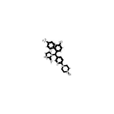 CCN1CCN(c2ccc(C(c3ccc(Cl)cc3)N3C(=O)NC[C@@H]3c3cccc(C(F)(F)F)c3)cn2)CC1